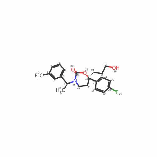 C[C@@H](c1cccc(C(F)(F)F)c1)N1CC[C@](CCCO)(c2ccc(F)cc2)OC1=O